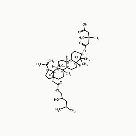 C=C(C)[C@@H]1CC[C@]2(CC(=O)NCC(O)CC(C)C)CC[C@]3(C)[C@H](CC[C@@H]4[C@@]5(C)CC[C@H](OC(=O)CC(C)(C)CC(=O)O)C(C)(C)[C@@H]5CC[C@]43C)[C@@H]12